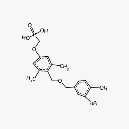 CCCc1cc(COCc2c(C)cc(OCP(=O)(O)O)cc2C)ccc1O